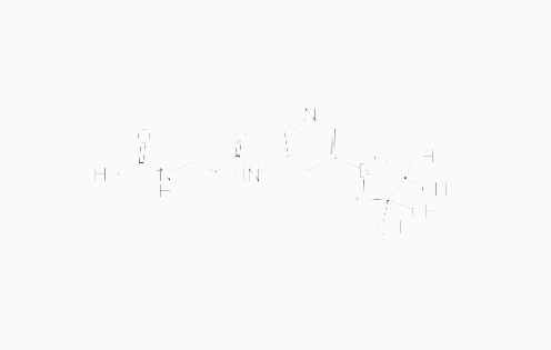 CC(=O)NCCC(=O)Nc1cncc(B2OC(C)(C)C(C)(C)O2)c1